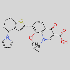 COc1c(-c2cc3c(s2)CCCC3n2cccc2)ccc2c(=O)c(C(=O)O)cn(C3CC3)c12